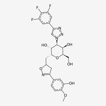 COc1ccc(C2=NOC(C[C@H]3O[C@H](CO)[C@H](O)[C@H](n4cc(-c5cc(F)c(F)c(F)c5)nn4)[C@H]3O)C2)cc1O